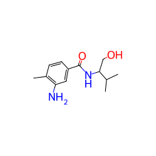 Cc1ccc(C(=O)NC(CO)C(C)C)cc1N